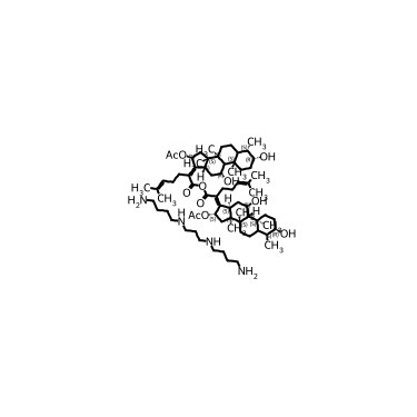 CC(=O)O[C@H]1C[C@@]2(C)[C@H](C[C@@H](O)C3[C@@]4(C)CC[C@@H](O)[C@@H](C)C4CC[C@@]32C)C1=C(CCC=C(C)C)C(=O)OC(=O)C(CCC=C(C)C)=C1[C@@H](OC(C)=O)C[C@@]2(C)[C@@H]1C[C@@H](O)[C@@H]1[C@@]3(C)CC[C@@H](O)[C@@H](C)C3CC[C@@]12C.NCCCCNCCCNCCCCN